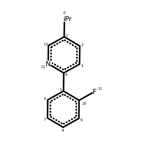 CC(C)c1ccc(-c2ccccc2F)nc1